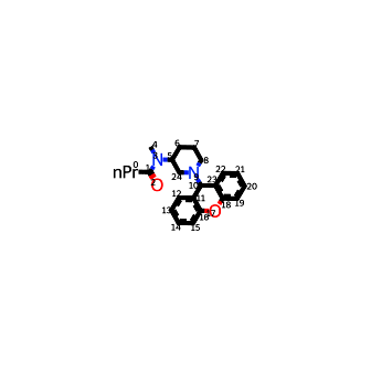 CCCC(=O)N(C)C1CCCN(C2c3ccccc3Oc3ccccc32)C1